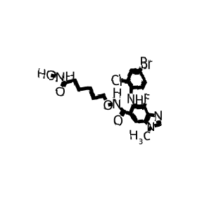 Cn1cnc2c(F)c(Nc3ccc(Br)cc3Cl)c(C(=O)NOCCCCCC(=O)NO)cc21